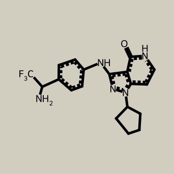 NC(c1ccc(Nc2nn(C3CCCC3)c3cc[nH]c(=O)c23)cc1)C(F)(F)F